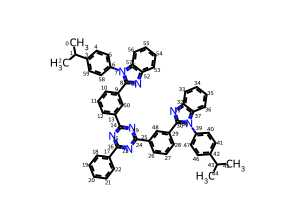 CC(C)c1ccc(-n2c(-c3cccc(-c4nc(-c5ccccc5)nc(-c5cccc(-c6nc7ccccc7n6-c6ccc(C(C)C)cc6)c5)n4)c3)nc3ccccc32)cc1